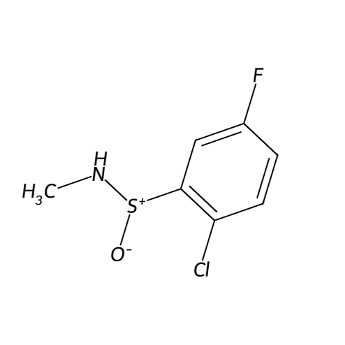 CN[S+]([O-])c1cc(F)ccc1Cl